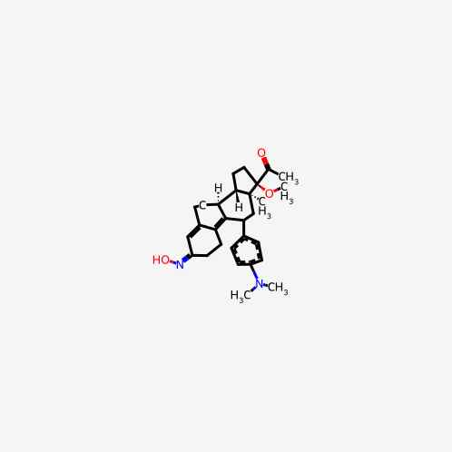 CO[C@]1(C(C)=O)CC[C@H]2[C@@H]3CCC4=C/C(=N\O)CCC4=C3C(c3ccc(N(C)C)cc3)C[C@@]21C